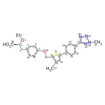 CCO[C@@H](Cc1ccc(OCc2sc(-c3ccc(-c4nnn(C)n4)cc3)cc2C)cc1)C(=O)O